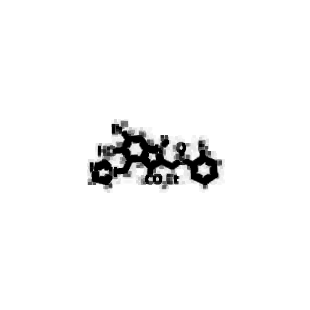 CCOC(=O)c1c(C[S+]([O-])c2ccccc2F)n(C)c2cc(Br)c(O)c(Cn3ccnc3)c12